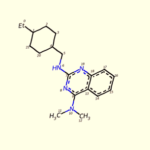 CCC1CCC(CNc2nc(N(C)C)c3ccccc3n2)CC1